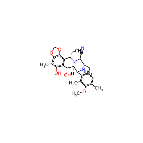 CC[C@H]1c2c3c(c(C)c(O)c2[C@@H](O)[C@@H]2C4c5c(cc(C)c(OC)c5C)CC([C@H](C#N)N12)N4C)OCO3